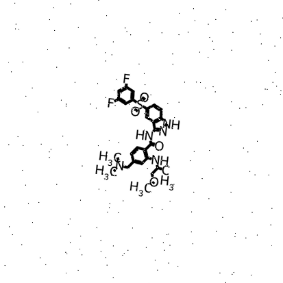 COCC(C)Nc1cc(CN(C)C)ccc1C(=O)Nc1n[nH]c2ccc(S(=O)(=O)c3cc(F)cc(F)c3)cc12